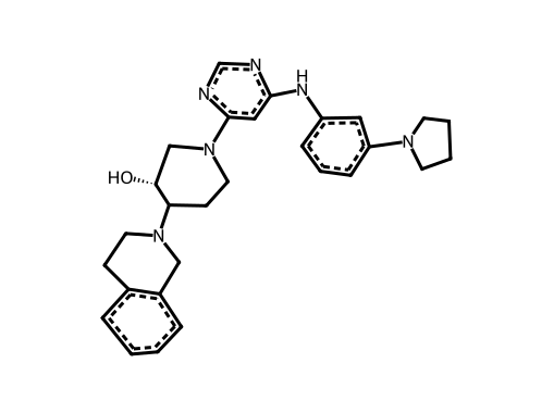 O[C@@H]1CN(c2cc(Nc3cccc(N4CCCC4)c3)ncn2)CCC1N1CCc2ccccc2C1